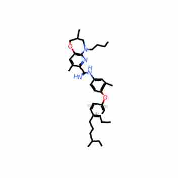 C\C=C(/C=C\C(=C\CC)CCCC(C)CC)Oc1ccc(NC(=N)c2nc3c(cc2C)OCC(C)CN3CCCC)cc1C